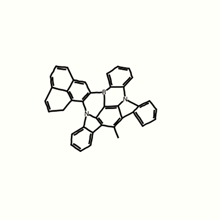 Cc1c2c3ccccc3n3c2c2c4c1c1ccccc1n4-c1c(cc4cccc5c4c1CC=C5)B2c1ccccc1-3